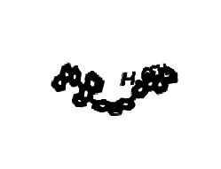 CC1(C)c2ccc(-c3ccc4oc5ccc(-c6c7ccccc7c(-c7ccc8ccc9ccccc9c8c7)c7ccccc67)cc5c4c3)cc2-c2ccc3ccccc3c21